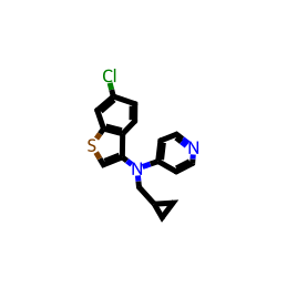 Clc1ccc2c(N(CC3CC3)c3ccncc3)csc2c1